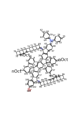 CCCCCCCCc1ccc(C2(c3ccc(CCCCCCCC)cc3)c3cc4c(cc3-c3cc5c(cc32)-c2cc3c(cc2C5(c2ccc(CCCCCCCC)cc2)c2ccc(CCCCCCCC)cc2)-c2ccc(N(c5ccc(C)cc5)c5ccc(C)cc5)cc2/C3=C2\CC3C2C2C3C3C5C6C7CCC7C6C5C23)/C(=C2/CC3C2C2C3C3C5C6C7CCC7C6C5C23)c2cc(Br)ccc2-4)cc1